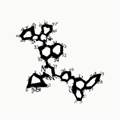 c1ccc(-c2nc(-c3ccc(-c4cc5ccccc5c5ccccc45)cc3)cc(-c3ccc(-c4nc5ccccc5c5c4sc4ccccc45)c4ccccc34)n2)cc1